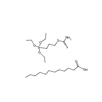 CCCCCCCCCCCC(=O)O.CCO[Si](CCCSC(N)=S)(OCC)OCC